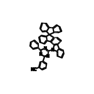 N#Cc1cccc(-c2nc(-c3ccccc3)nc(-n3c4ccccc4c4ccc5c(c43)-c3ccccc3C53c4ccccc4-c4ccccc43)n2)c1